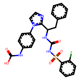 O=C(O)Nc1ccc(-n2ccnc2C(Cc2ccccc2)NC(=O)NS(=O)(=O)c2ccccc2F)cc1